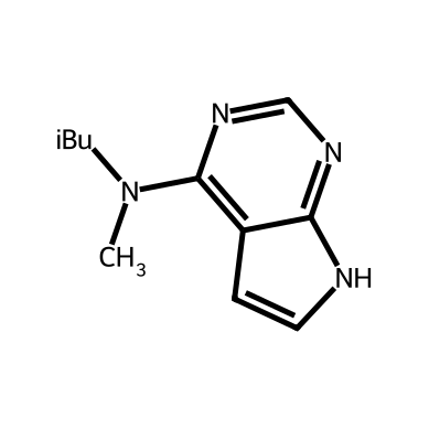 CCC(C)N(C)c1ncnc2[nH]ccc12